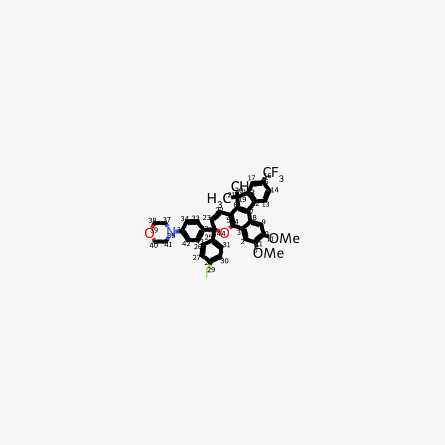 COc1cc2c3c(c4c(c2cc1OC)-c1ccc(C(F)(F)F)cc1C4(C)C)C=CC(c1ccc(F)cc1)(c1ccc(N2CCOCC2)cc1)O3